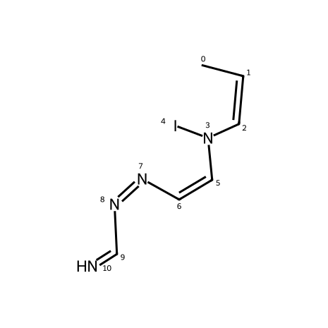 C/C=C\N(I)/C=C\N=N/C=N